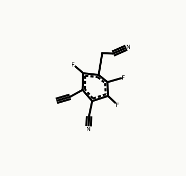 C#Cc1c(F)c(CC#N)c(F)c(F)c1C#N